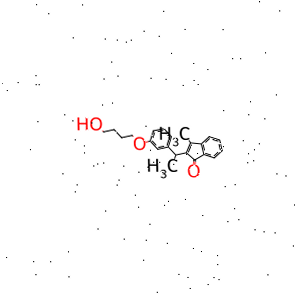 CC1=C(C(C)c2cccc(OCCCCO)c2)C(=O)c2ccccc21